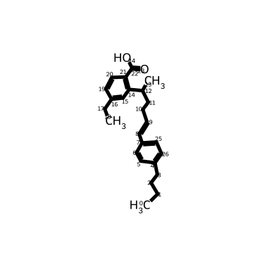 CCCCc1ccc(C=CCCC(C)c2cc(CC)ccc2C(=O)O)cc1